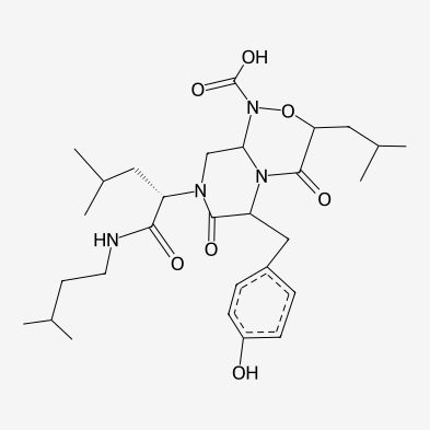 CC(C)CCNC(=O)[C@H](CC(C)C)N1CC2N(C(=O)O)OC(CC(C)C)C(=O)N2C(Cc2ccc(O)cc2)C1=O